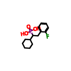 O=P(O)(O)C(Cc1ccccc1F)C1CCCCC1